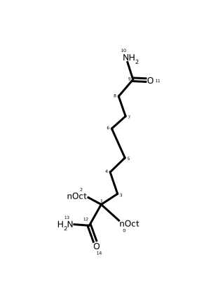 CCCCCCCCC(CCCCCCCC)(CCCCCCC(N)=O)C(N)=O